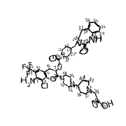 Nc1c(Cl)cc(C[C@@H](OC(=O)N2CCC(N3CCc4ccccc4NC3=O)CC2)C(=O)N2CCN(C3CCN(CC(=O)O)CC3)CC2)cc1C(F)(F)F